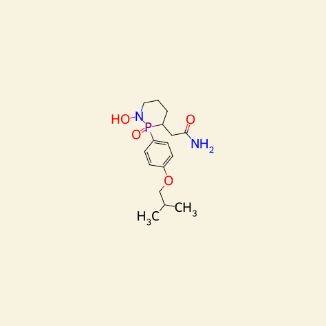 CC(C)COc1ccc(P2(=O)C(CC(N)=O)CCCN2O)cc1